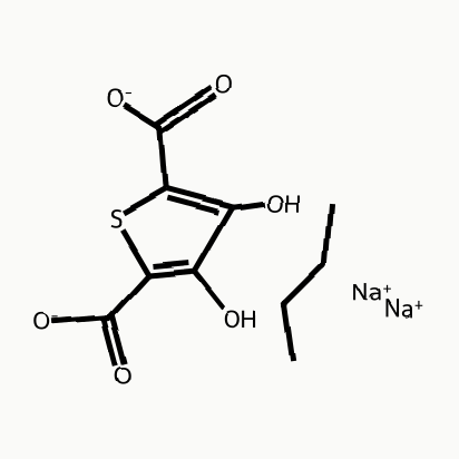 CCCC.O=C([O-])c1sc(C(=O)[O-])c(O)c1O.[Na+].[Na+]